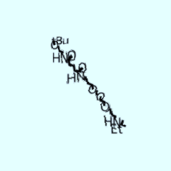 CCC(C)(C)NCCCOCCOCCOCCCNC(=O)CCCC(=O)NCCCOC(C)(C)C